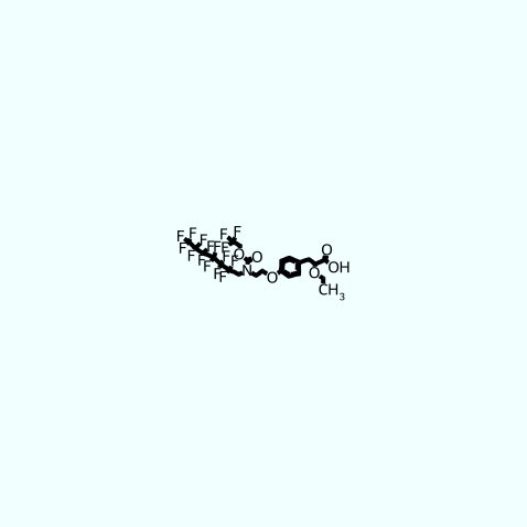 CCOC(Cc1ccc(OCCN(CC(F)(F)C(F)(F)C(F)(F)C(F)(F)C(F)(F)C(F)(F)F)C(=O)OCC(F)(F)F)cc1)C(=O)O